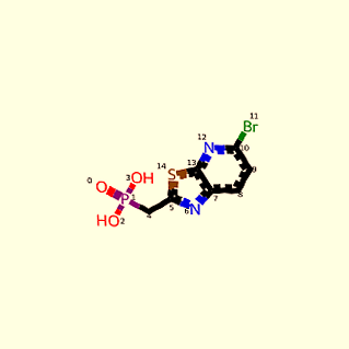 O=P(O)(O)Cc1nc2ccc(Br)nc2s1